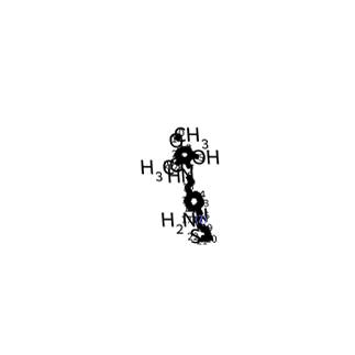 COc1cc(O)c(CNCCc2ccc(/N=C(\N)c3cccs3)cc2)c(OC)c1